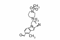 Cc1c(C=O)ccc2c1cc(C#N)n2C[C@H](C)N1CCCN(S(C)(=O)=O)CC1